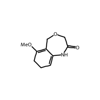 COC1=C2COCC(=O)NC2=CCC1